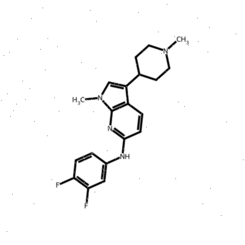 CN1CCC(c2cn(C)c3nc(Nc4ccc(F)c(F)c4)ccc23)CC1